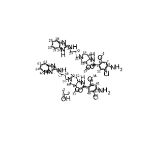 CC(C)O.COc1cc(N)c(Cl)cc1C(=O)NC1CCN(CCCNc2nc3ccccc3[nH]2)CC1OC.COc1cc(N)c(Cl)cc1C(=O)NC1CCN(CCCNc2nc3ccccc3[nH]2)CC1OC